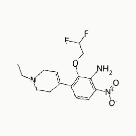 CCN1CC=C(c2ccc([N+](=O)[O-])c(N)c2OCC(F)F)CC1